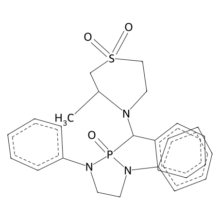 CC1CS(=O)(=O)CCN1C(c1ccccc1)P1(=O)N(c2ccccc2)CCN1c1ccccc1